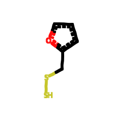 SSCc1ccco1